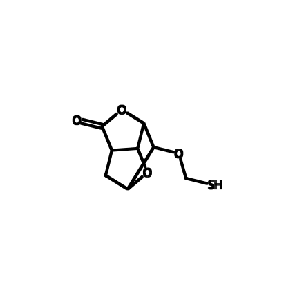 O=C1OC2C(OCS)C3CC1C2O3